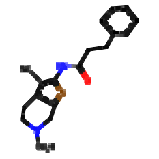 N#Cc1c(NC(=O)CCc2ccccc2)sc2c1CCN(C(=O)O)C2